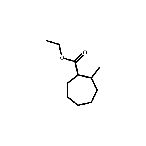 CCOC(=O)C1CCCCCC1C